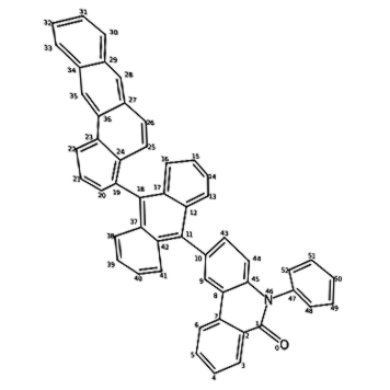 O=c1c2ccccc2c2cc(-c3c4ccccc4c(-c4cccc5c4ccc4cc6ccccc6cc45)c4ccccc34)ccc2n1-c1ccccc1